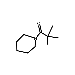 CC(C)(C)C(=O)N1CCCCC1